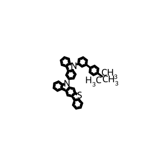 CC(C)(C)c1ccc(-c2cccc(-n3c4ccccc4c4cc(-n5c6ccccc6c6cc7c(cc65)sc5ccccc57)ccc43)c2)cc1